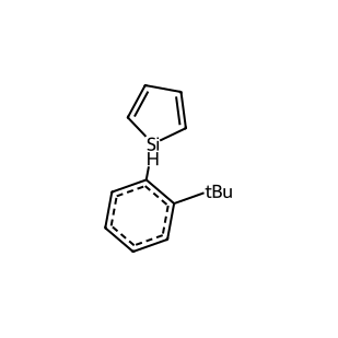 CC(C)(C)c1ccccc1[SiH]1C=CC=C1